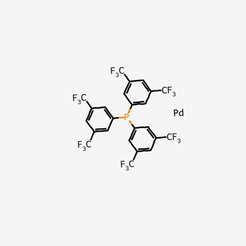 FC(F)(F)c1cc(P(c2cc(C(F)(F)F)cc(C(F)(F)F)c2)c2cc(C(F)(F)F)cc(C(F)(F)F)c2)cc(C(F)(F)F)c1.[Pd]